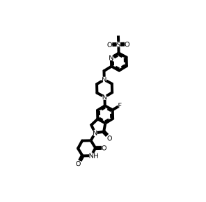 CS(=O)(=O)c1cccc(CN2CCN(c3cc4c(cc3F)C(=O)N(C3CCC(=O)NC3=O)C4)CC2)n1